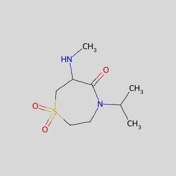 CNC1CS(=O)(=O)CCN(C(C)C)C1=O